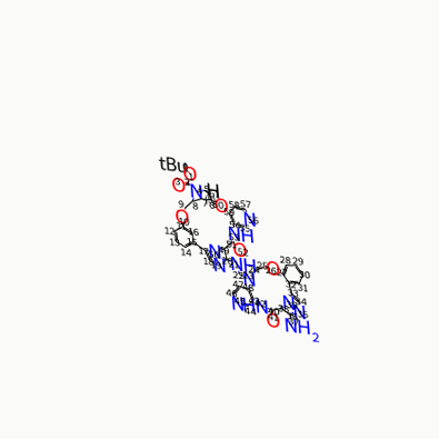 CC(C)(C)OC(=O)N1C[C@@H]2CC1COc1cccc(c1)-c1cnc(NCN3CCOc4ccccc4-c4cnc(N)c(n4)C(=O)Nc4cnccc43)c(n1)C(=O)Nc1cnccc1O2